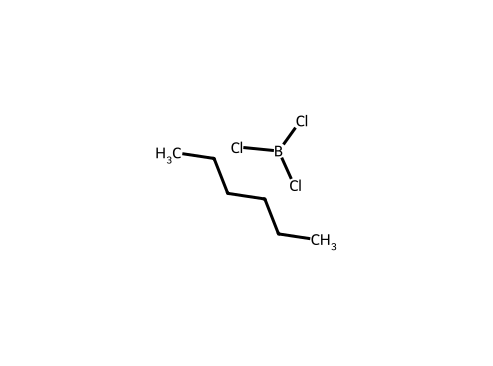 CCCCCC.ClB(Cl)Cl